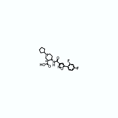 O=C(N[C@H]1CCN(C2CCCC2)C[C@@H]1C(=O)O)c1cc(-c2ccc(F)cc2F)on1